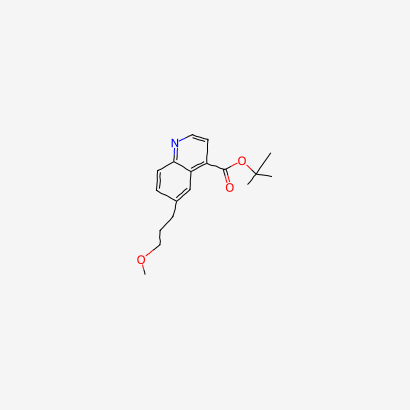 COCCCc1ccc2nccc(C(=O)OC(C)(C)C)c2c1